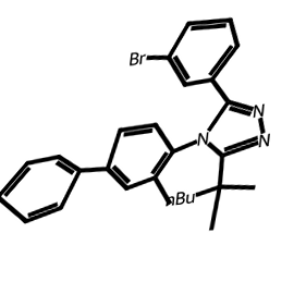 CCCCC(C)(C)c1nnc(-c2cccc(Br)c2)n1-c1ccc(-c2ccccc2)cc1C